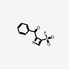 O=C(C1=NC=C1S(=O)(=O)F)c1ccccc1